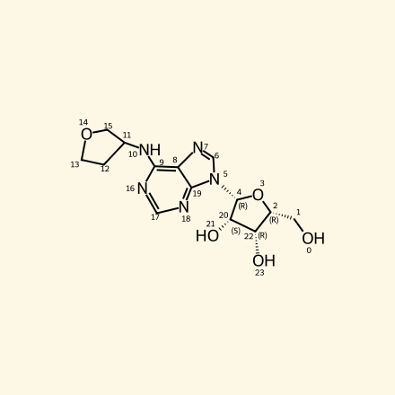 OC[C@H]1O[C@@H](n2cnc3c(NC4CCOC4)ncnc32)[C@@H](O)[C@H]1O